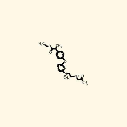 CCOC(=O)C(C)c1ccc(Oc2cncc(N(C)CCNCC(C)=O)n2)cc1